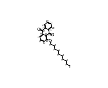 CCCCCCCCCCOc1cccc2c1C(=O)c1ccccc1C2=O